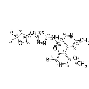 COc1cnc(Br)cc1-c1cc(C)ncc1C(=O)Nc1nnc(O[C@H]2COC3(CC3)C2)s1